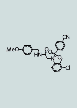 COc1ccc(CNC(=O)CN(c2cccc(Cl)c2C)S(=O)(=O)c2ccc(C#N)cc2)cc1